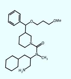 COCCCOC(c1ccccc1)C1CCCN(C(=O)N(C)C(CN)CC2CCCCC2)C1